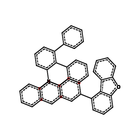 c1ccc(-c2ccccc2-c2c(-c3ccccc3)cccc2N(c2ccccc2)c2ccc(-c3cccc4oc5ccccc5c34)cc2)cc1